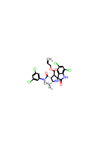 C=CCOC(=O)C1[C@@H](C(=O)N(C)c2cc(Cl)cc(Cl)c2)[C@@H](C)NC12C(=O)Nc1c(Cl)cc(Cl)cc12